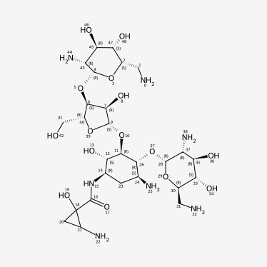 NC[C@@H]1O[C@H](O[C@H]2[C@@H](O)[C@H](O[C@@H]3[C@@H](O)[C@H](NC(=O)C4(O)CC4N)C[C@H](N)[C@H]3O[C@H]3O[C@H](CN)[C@@H](O)[C@H](O)[C@H]3N)O[C@@H]2CO)[C@H](N)[C@@H](O)[C@@H]1O